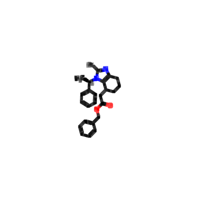 CC(C)c1nc2c(n1[C@H](C)c1ccccc1)C(CC(=O)OCc1ccccc1)CCC2